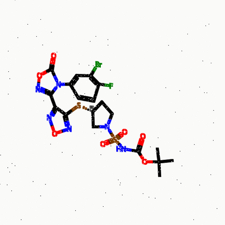 CC(C)(C)OC(=O)NS(=O)(=O)N1CC[C@@H](Sc2nonc2-c2noc(=O)n2-c2ccc(F)c(Br)c2)C1